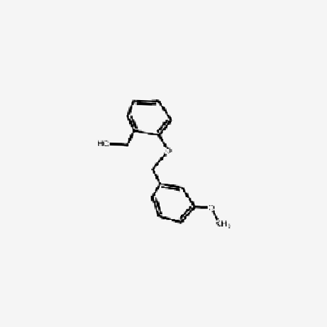 COc1cccc(COc2ccccc2CO)c1